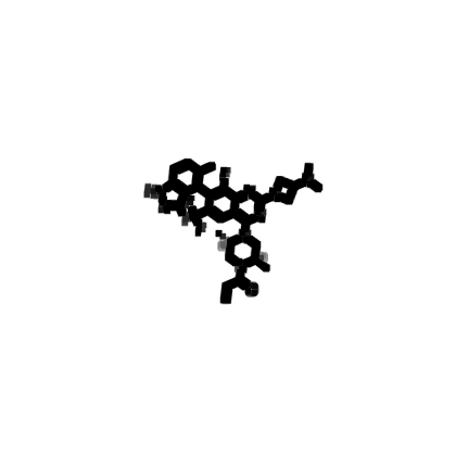 C=CC(=O)N1C[C@H](C)N(c2nc(N3CC(N(C)C)C3)nc3c(F)c(-c4c(C)ccc5[nH]nc(C)c45)c(C(F)(F)F)cc23)C[C@H]1C